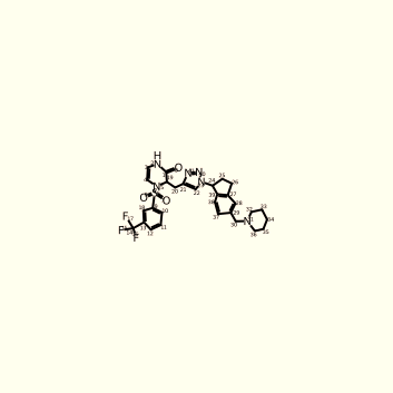 O=C1NC=CN(S(=O)(=O)c2cccc(C(F)(F)F)c2)C1Cc1cn(C2CCc3cc(CN4CCCCC4)ccc32)nn1